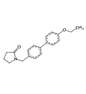 CCOc1ccc(-c2ccc(CN3CCCC3=O)cc2)cc1